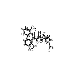 COc1cc(-c2ccc3c(c2NC(=O)NS(=O)(=O)c2ncn(C(C)C)n2)CCC3)ccn1